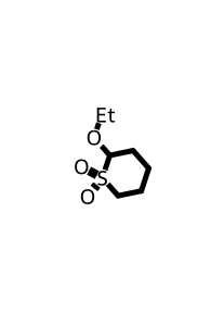 CCOC1CCCCS1(=O)=O